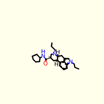 CCCN1C[C@H](C(=O)NC2CCCCC2)C[C@@H]2c3cccc4c3c(cn4CCC)C[C@H]21